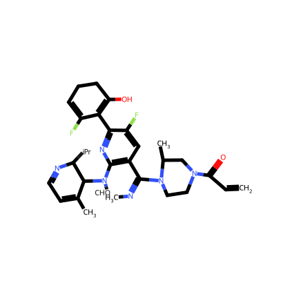 C=CC(=O)N1CCN(/C(=N/C)c2cc(F)c(C3=C(O)CCC=C3F)nc2N(C=O)C2C(C)=CC=NC2C(C)C)C(C)C1